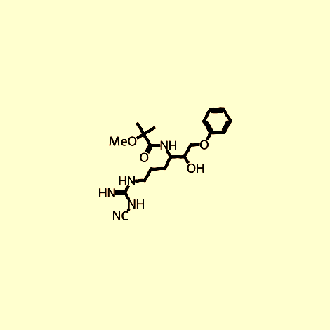 COC(C)(C)C(=O)NC(CCCNC(=N)NC#N)C(O)COc1ccccc1